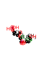 Cc1cc(OCP(=O)(O)O)cc2c1[C@@H](c1ccc(Oc3ccc([C@@H]4CCOP(=O)(COc5cc(Cl)c6c(c5)CC[C@H]6c5cc(C(C)C)c(O)cc5F)O4)cc3Cl)c(C3COC3)c1)CC2